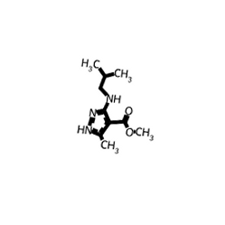 COC(=O)c1c(NCC(C)C)n[nH]c1C